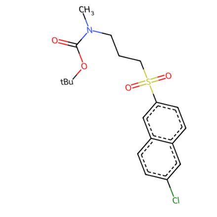 CN(CCCS(=O)(=O)c1ccc2cc(Cl)ccc2c1)C(=O)OC(C)(C)C